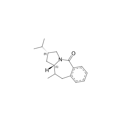 CC(C)[C@H]1C[C@H]2C(C)Cc3ccccc3C(=O)N2C1